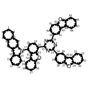 c1ccc2cc3c(cc2c1)c1ccccc1n3-c1ccc(-c2nc(-c3ccc4oc5ccccc5c4c3)nc(-c3ccc4oc5ccccc5c4c3)n2)c2oc3ccccc3c12